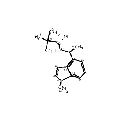 C[C@H](N[S@+]([O-])C(C)(C)C)c1cccc2c1ccn2C